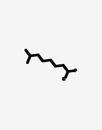 CC(C)CCCCC[C](F)Cl